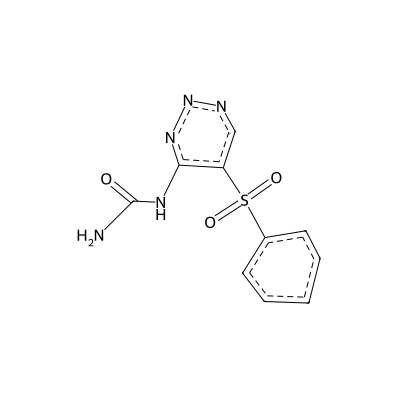 NC(=O)Nc1nnncc1S(=O)(=O)c1ccccc1